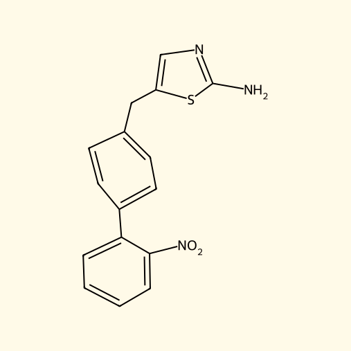 Nc1ncc(Cc2ccc(-c3ccccc3[N+](=O)[O-])cc2)s1